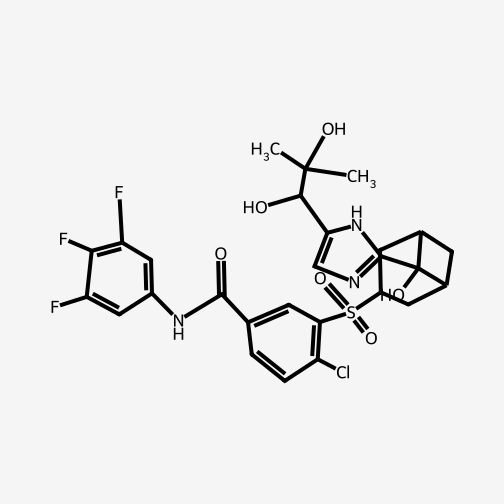 CC(C)(O)C(O)c1cnc(C2(O)C3CC2CC(S(=O)(=O)c2cc(C(=O)Nc4cc(F)c(F)c(F)c4)ccc2Cl)C3)[nH]1